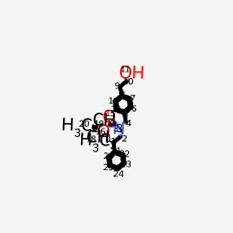 C[C@H](CN(Cc1ccc(CCO)cc1)C(=O)OC(C)(C)C)c1ccccc1